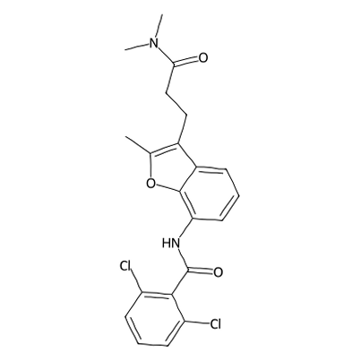 Cc1oc2c(NC(=O)c3c(Cl)cccc3Cl)cccc2c1CCC(=O)N(C)C